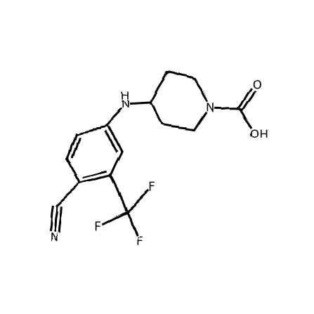 N#Cc1ccc(NC2CCN(C(=O)O)CC2)cc1C(F)(F)F